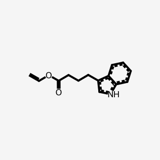 C=COC(=O)CCCc1c[nH]c2ccccc12